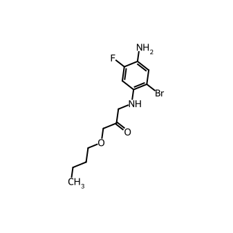 CCCCOCC(=O)CNc1cc(F)c(N)cc1Br